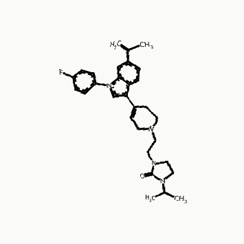 CC(C)c1ccc2c(C3=CCN(CCN4CCN(C(C)C)C4=O)CC3)cn(-c3ccc(F)cc3)c2c1